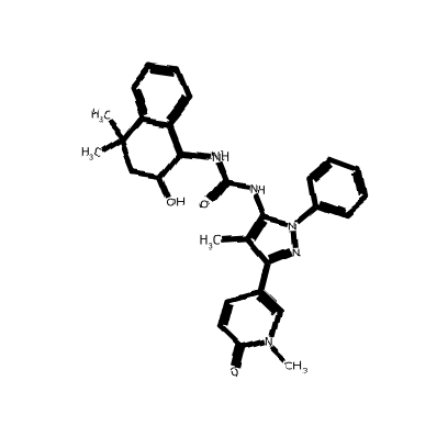 Cc1c(-c2ccc(=O)n(C)c2)nn(-c2ccccc2)c1NC(=O)NC1c2ccccc2C(C)(C)CC1O